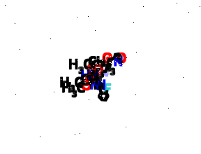 CC(C)(C)OC(=O)N[C@@H](C/C=C/CCC(=O)c1ccon1)c1nc(-c2ccccc2F)cn1C(=O)OC(C)(C)C